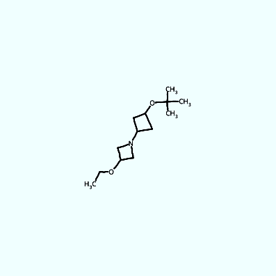 CCOC1CN(C2CC(OC(C)(C)C)C2)C1